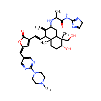 C=C1C(NC(C)C(=O)NC2=NCC=N2)CC2[C@](C)(CC[C@@H](O)[C@@]2(C)CO)C1/C=C/C1=CC(=C\c2cnc(N3CCN(C)CC3)nc2)/OC1=O